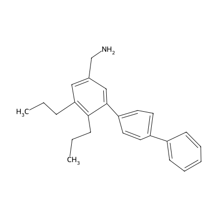 CCCc1cc(CN)cc(-c2ccc(-c3ccccc3)cc2)c1CCC